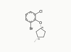 C[C@H]1CC[C@@H](Oc2c(Cl)cccc2Br)C1